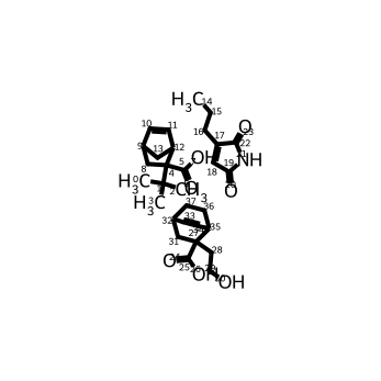 CC(C)(C)C1(C(=O)O)CC2C=CC1C2.CCCC1=CC(=O)NC1=O.O=C(O)C1(CCO)CC2C=CC1CC2